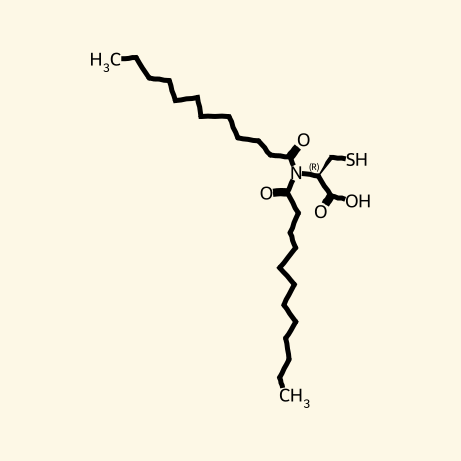 CCCCCCCCCCCC(=O)N(C(=O)CCCCCCCCCCC)[C@@H](CS)C(=O)O